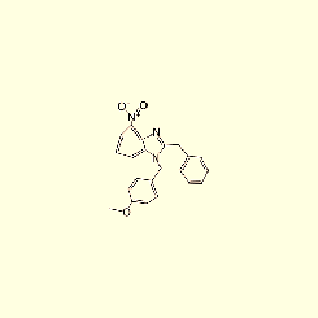 COc1ccc(Cn2c(Cc3ccccc3)nc3c([N+](=O)[O-])cccc32)cc1